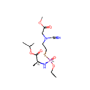 CCO[P@](=O)(N[C@@H](C)C(=O)OC(C)C)SCCN(C#N)CC(=O)OC